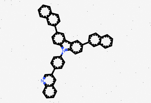 c1ccc2cc(-c3ccc4c(c3)c3cc(-c5ccc6ccccc6c5)ccc3n4-c3ccc(-c4cnc5ccccc5c4)cc3)ccc2c1